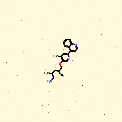 Cc1cc(-c2ccnc3ccccc23)ncc1OCC(C)CC(C)CN